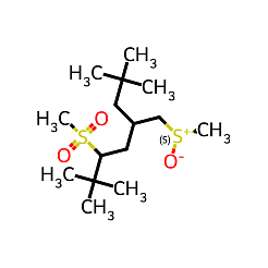 C[S@@+]([O-])CC(CC(C(C)(C)C)S(C)(=O)=O)CC(C)(C)C